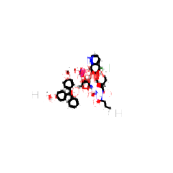 CCCCC(=O)n1c(=O)ccn([C@@H]2O[C@H](COC(c3ccccc3)(c3ccc(OC)cc3)c3ccc(OC)cc3)[C@@H](OP(=O)(O)Oc3ccc(Cl)c4cccnc34)[C@H]2OC2CCCCO2)c1=O